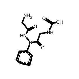 NCC(=O)NN(C(=O)CNC(=O)O)c1ccccc1